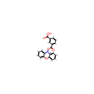 O=C(O)c1cccc(C(=O)ON2c3ccccc3Oc3ccccc32)c1